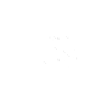 Cn1c(=O)n(CCN2CCc3sccc3C2)c2nc3c(n21)C(c1ccco1)=NCN3N